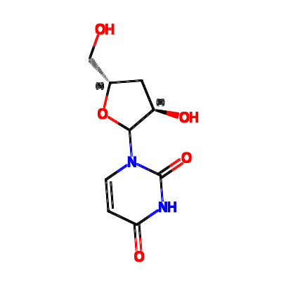 O=c1ccn(C2O[C@H](CO)C[C@H]2O)c(=O)[nH]1